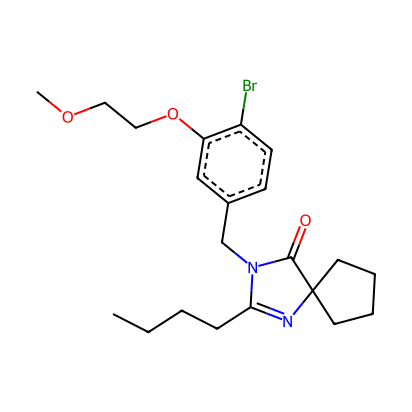 CCCCC1=NC2(CCCC2)C(=O)N1Cc1ccc(Br)c(OCCOC)c1